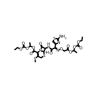 CCOC(=O)OC(C)OC(=O)CO/N=C(/C(=O)NC1C(=O)N2C(C(=O)OC(C)OC(=O)OCC)=C(SC)CS[C@H]12)c1csc(N)n1